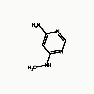 CNc1cc(N)ncn1